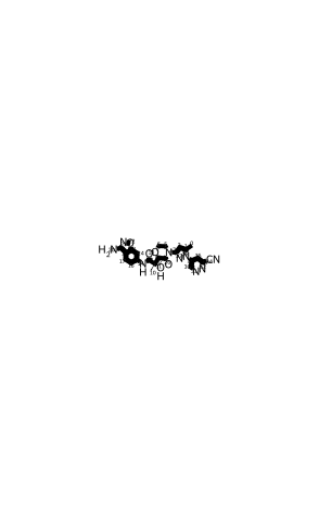 Cc1cc(N2CCO[C@H]([C@@](C)(O)C(=O)Nc3ccc4c(N)noc4c3)C2=O)nn1-c1cnnc(C#N)c1